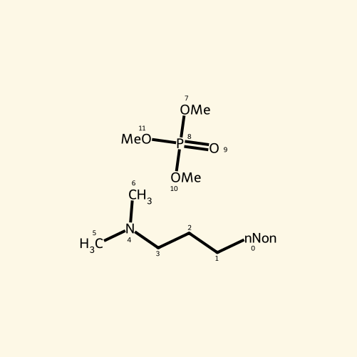 CCCCCCCCCCCCN(C)C.COP(=O)(OC)OC